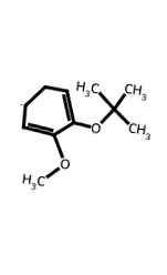 COC1=C[CH]CC=C1OC(C)(C)C